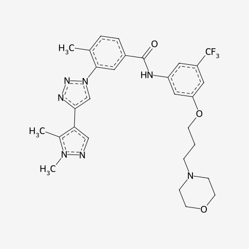 Cc1ccc(C(=O)Nc2cc(OCCCN3CCOCC3)cc(C(F)(F)F)c2)cc1-n1cc(-c2cnn(C)c2C)nn1